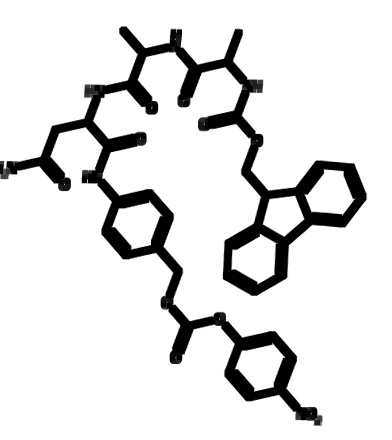 CC(NC(=O)OCC1c2ccccc2-c2ccccc21)C(=O)NC(C)C(=O)NC(CC(N)=O)C(=O)Nc1ccc(COC(=O)Oc2ccc([N+](=O)[O-])cc2)cc1